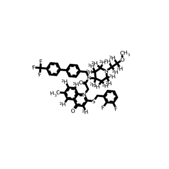 [2H]c1c(C)c([2H])c2c(=O)c([2H])c(SCc3cccc(F)c3F)n(CC(=O)N(Cc3ccc(-c4ccc(C(F)(F)F)cc4)cc3)C3([2H])C([2H])([2H])C([2H])([2H])N(C([2H])([2H])C([2H])([2H])OC)C([2H])([2H])C3([2H])[2H])c2c1[2H]